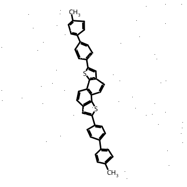 Cc1ccc(-c2ccc(-c3cc4ccc5c(ccc6cc(-c7ccc(-c8ccc(C)cc8)cc7)sc65)c4s3)cc2)cc1